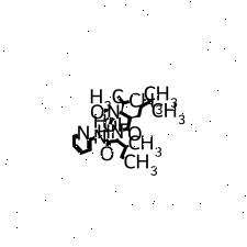 CC[C@H](C)[C@H](NC(=O)[C@H](CCC(C)C)[C@H](C(C)C)N(O)C=O)C(=O)Nc1ccccn1